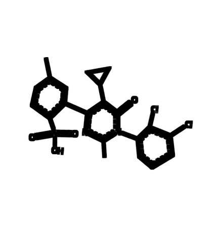 Cc1ccc(S(=O)(=O)O)c(-c2nc(C)n(-c3cccc(Cl)c3Cl)c(=O)c2C2CC2)c1